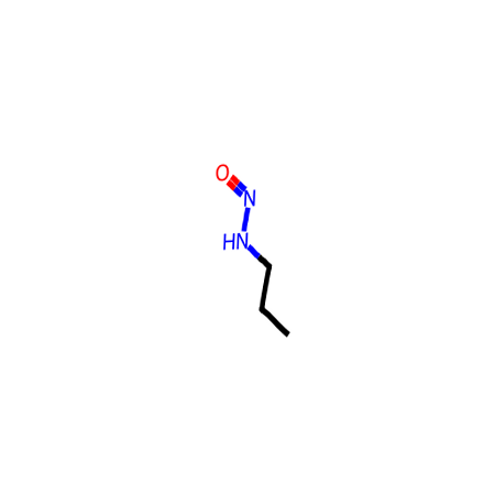 CCCNN=O